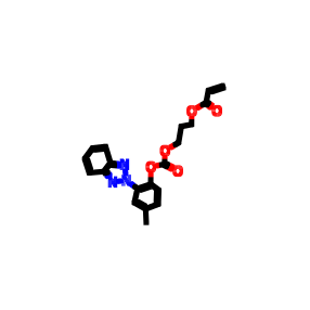 C=CC(=O)OCCCOC(=O)Oc1ccc(C)cc1-n1nc2ccccc2n1